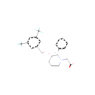 O=C(O)CN1CCC[C@@H](OCc2cc(C(F)(F)F)cc(C(F)(F)F)c2)[C@H]1c1ccccc1